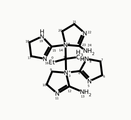 CCC(C)([N+]1(C2=NCCN2)CCN=C1N)[N+]1(C2=NCCN2)CCN=C1N